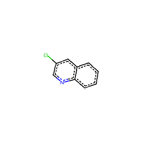 Clc1cnc2[c]cccc2c1